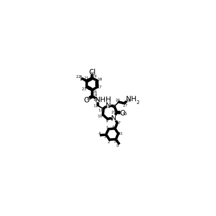 CC1CC(C)CC(CN2CC[C@@H](CNC(=O)c3ccc(Cl)c(I)c3)N[C@@H](CCN)C2=O)C1